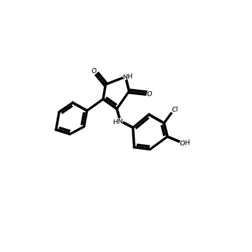 O=C1NC(=O)C(c2[c]cccc2)=C1Nc1ccc(O)c(Cl)c1